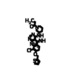 C=CC(=O)N1CCCC(Nc2ncnc(N)c2C(=N)C2=CC(Cl)=C(OCc3cccs3)CC2)C1